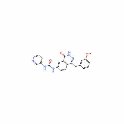 COc1cccc(Cc2n[nH]c(=O)c3cc(NC(=O)Nc4cccnc4)ccc23)c1